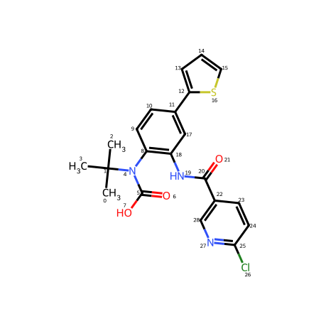 CC(C)(C)N(C(=O)O)c1ccc(-c2cccs2)cc1NC(=O)c1ccc(Cl)nc1